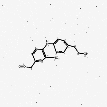 O=CCc1ccc(Nc2ccc(CCO)cc2)c([N+](=O)[O-])c1